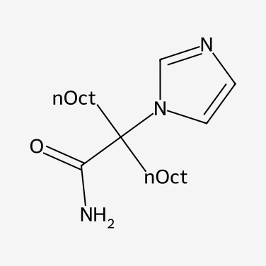 CCCCCCCCC(CCCCCCCC)(C(N)=O)n1ccnc1